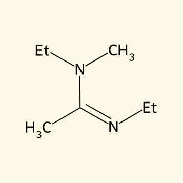 CCN=C(C)N(C)CC